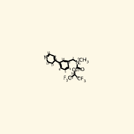 CN(Cc1cccc(C2=CC=NCC2)c1)C(=O)OC(C(F)(F)F)C(F)(F)F